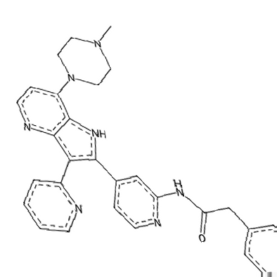 CN1CCN(c2ccnc3c(-c4ccccn4)c(-c4ccnc(NC(=O)Cc5ccc(F)cc5)c4)[nH]c23)CC1